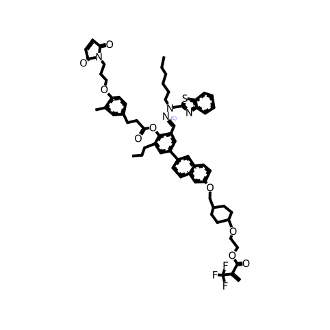 C=C(C(=O)OCCOC1CCC(COc2ccc3cc(-c4cc(/C=N/N(CCCCCC)c5nc6ccccc6s5)c(OC(=O)CCc5ccc(OCCCN6C(=O)C=CC6=O)c(C)c5)c(CCC)c4)ccc3c2)CC1)C(F)(F)F